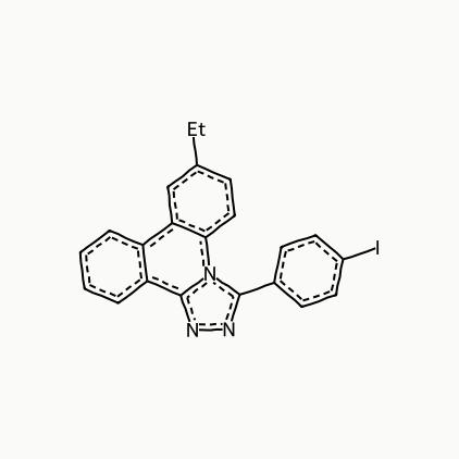 CCc1ccc2c(c1)c1ccccc1c1nnc(-c3ccc(I)cc3)n21